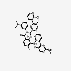 CNc1ncc(F)c(-c2cccnc2Nc2cc(C(=O)N(c3cccc(C(C)C)c3)C(N)c3ncc(F)c(-c4cccnc4Cl)n3)ccc2C)n1